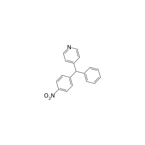 O=[N+]([O-])c1ccc(C(c2ccccc2)c2ccncc2)cc1